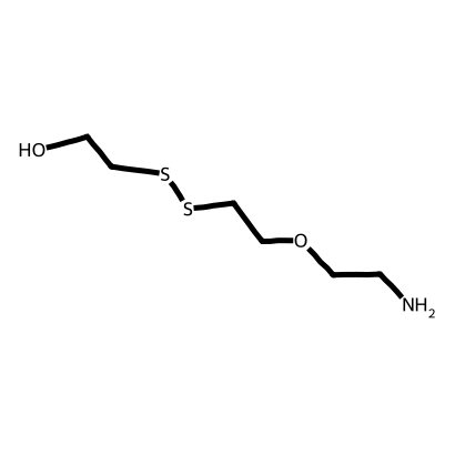 NCCOCCSSCCO